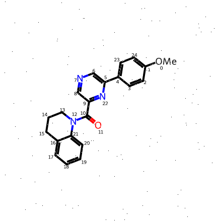 COc1ccc(-c2cncc(C(=O)N3CCCc4ccccc43)n2)cc1